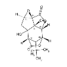 CC(C)(C)C1[C@H]2OC(=O)[C@@H]1C1(O)C[C@H]3O[C@]34C(=O)O[C@H]2[C@]14C